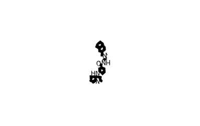 Cc1cc(Nc2cccc(C(=O)NCCN(C)Cc3ccc4ccccc4c3)c2)c2ccccc2n1